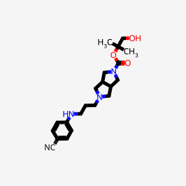 CC(C)(CO)OC(=O)N1CC2CN(CCCNc3ccc(C#N)cc3)CC2C1